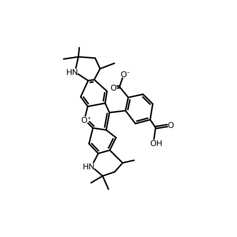 CC1CC(C)(C)Nc2cc3[o+]c4cc5c(cc4c(-c4cc(C(=O)O)ccc4C(=O)[O-])c3cc21)C(C)CC(C)(C)N5